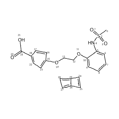 CS(=O)(=O)Nc1ccccc1OCCOc1ccc(C(=O)O)cc1.c1cc2ccc1-2